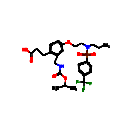 CCCN(CCOc1ccc(CCC(=O)O)c(CNC(=O)OC(C)C)c1)S(=O)(=O)c1ccc(C(F)(F)F)cc1